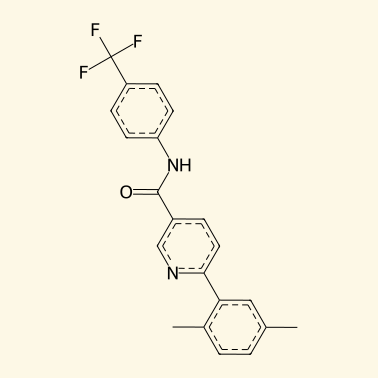 Cc1ccc(C)c(-c2ccc(C(=O)Nc3ccc(C(F)(F)F)cc3)cn2)c1